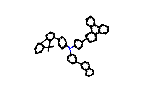 CC1(C)c2ccccc2-c2cccc(-c3ccc(N(c4ccc(-c5ccc6c7ccccc7c7ccccc7c6c5)cc4)c4cccc(-c5ccc6ccccc6c5)c4)cc3)c21